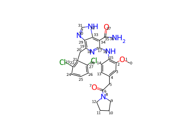 COc1cc(CC(=O)N2CCCC2)ccc1Nc1nc(Cc2c(Cl)cccc2Cl)c2nc[nH]c2c1C(N)=O